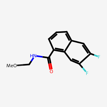 COCNC(=O)c1cccc2cc(F)c(F)cc12